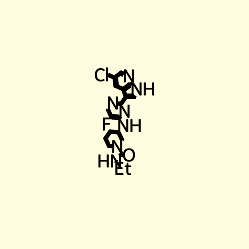 CCNC(=O)N1CCCC(Nc2nc(-c3c[nH]c4ncc(Cl)cc34)ncc2F)C1